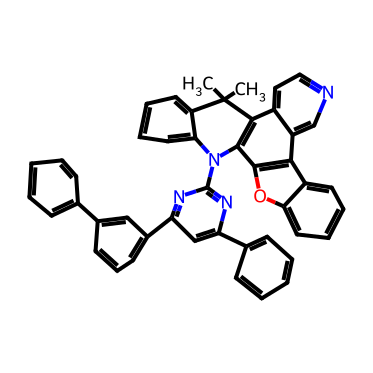 CC1(C)c2ccccc2N(c2nc(-c3ccccc3)cc(-c3cccc(-c4ccccc4)c3)n2)c2c1c1ccncc1c1c2oc2ccccc21